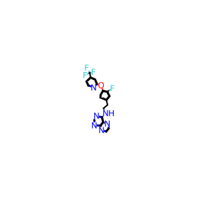 Fc1cc(CCNc2ncnc3nccnc23)ccc1Oc1cc(C(F)(F)F)ccn1